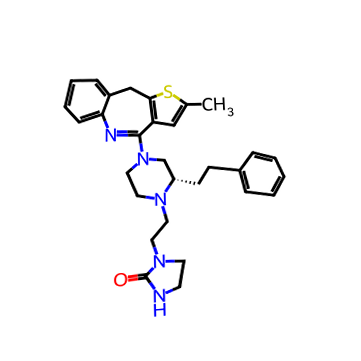 Cc1cc2c(s1)Cc1ccccc1N=C2N1CCN(CCN2CCNC2=O)[C@@H](CCc2ccccc2)C1